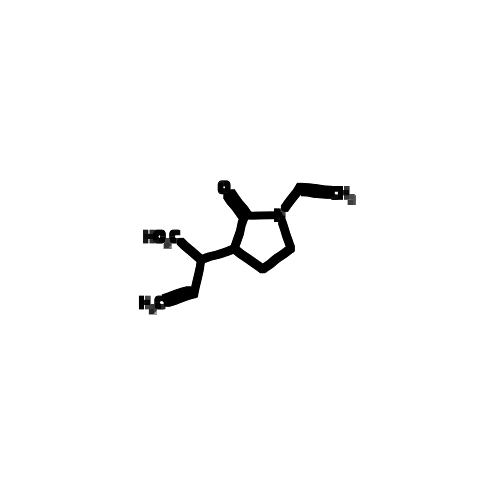 C=CC(C(=O)O)C1CCN(C=C)C1=O